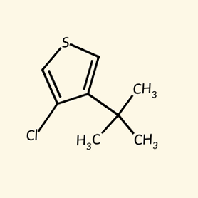 CC(C)(C)c1cscc1Cl